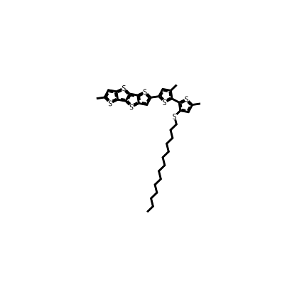 CCCCCCCCCCCCCCSc1cc(C)sc1-c1sc(-c2cc3sc4c5sc(C)cc5sc4c3s2)cc1C